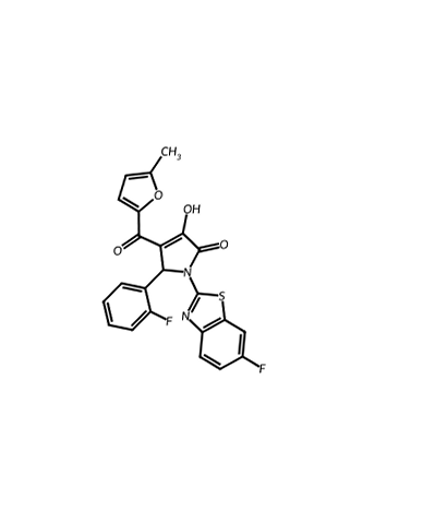 Cc1ccc(C(=O)C2=C(O)C(=O)N(c3nc4ccc(F)cc4s3)C2c2ccccc2F)o1